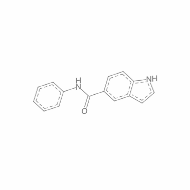 O=C(Nc1ccccc1)c1ccc2[nH]ccc2c1